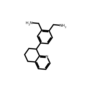 NCc1ccc(C2CCCc3cccnc32)cc1CN